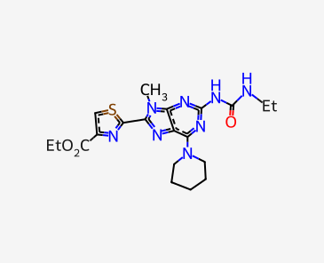 CCNC(=O)Nc1nc(N2CCCCC2)c2nc(-c3nc(C(=O)OCC)cs3)n(C)c2n1